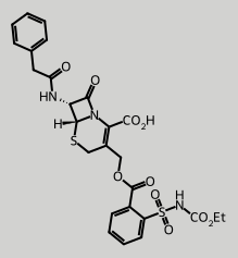 CCOC(=O)NS(=O)(=O)c1ccccc1C(=O)OCC1=C(C(=O)O)N2C(=O)[C@@H](NC(=O)Cc3ccccc3)[C@H]2SC1